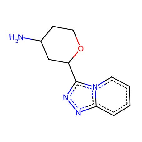 NC1CCOC(c2nnc3ccccn23)C1